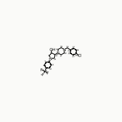 OC1CN(c2ccc(C(F)(F)F)cc2)CC1N1CCN(Cc2ccc(Cl)cc2)CC1